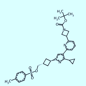 Cc1ccc(S(=O)(=O)OC[C@H]2C[C@H](n3cc(-c4cccc(C5CN(C(=O)OC(C)(C)C)C5)n4)c(C4CC4)n3)C2)cc1